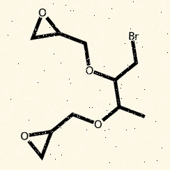 CC(OCC1CO1)C(CBr)OCC1CO1